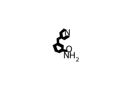 NC(=O)c1cccc(Cc2ccncc2)c1